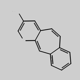 O=[C]C1=CSC2=Cc3ccccc3C=CC2=C1